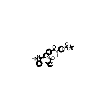 Cc1ccsc1C(=O)Nc1cc(C(=O)NC2CCN(C(=O)OC(C)(C)C)CC2)ccc1/C=C/c1n[nH]c2ccccc12